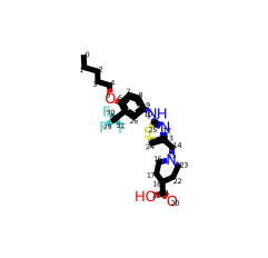 CCCCCOc1ccc(Nc2nc(CN3CCC(C(=O)O)CC3)cs2)cc1C(F)(F)F